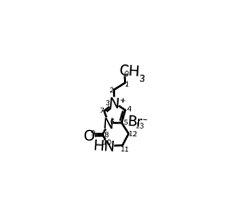 CCC[n+]1cc2n(c1)C(=O)NCC2.[Br-]